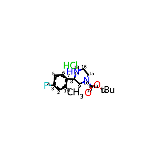 Cc1cc(F)ccc1C1CN(C(=O)OC(C)(C)C)CCN1.Cl